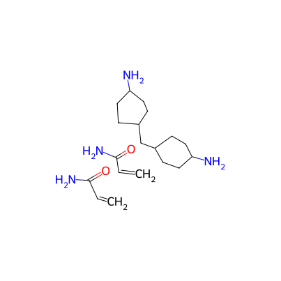 C=CC(N)=O.C=CC(N)=O.NC1CCC(CC2CCC(N)CC2)CC1